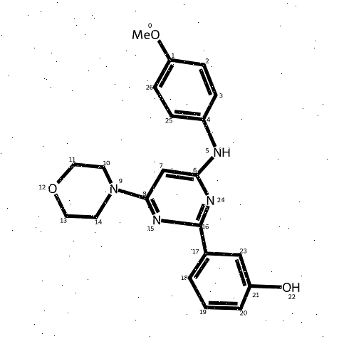 COc1ccc(Nc2cc(N3CCOCC3)nc(-c3cccc(O)c3)n2)cc1